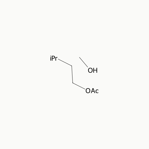 CC(=O)OCCC(C)C.CO